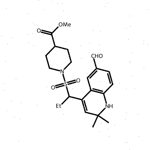 CCC(C1=CC(C)(C)Nc2ccc(C=O)cc21)S(=O)(=O)N1CCC(C(=O)OC)CC1